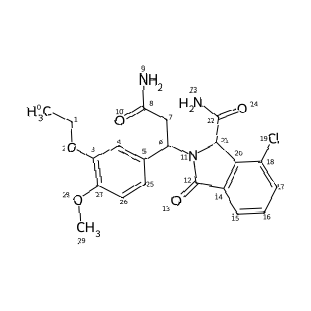 CCOc1cc(C(CC(N)=O)N2C(=O)c3[c]ccc(Cl)c3C2C(N)=O)ccc1OC